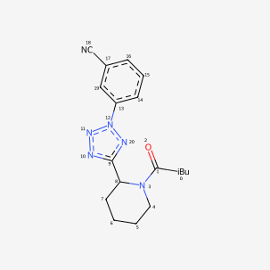 CCC(C)C(=O)N1CCCCC1c1nnn(-c2cccc(C#N)c2)n1